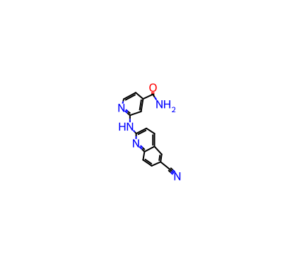 N#Cc1ccc2nc(Nc3cc(C(N)=O)ccn3)ccc2c1